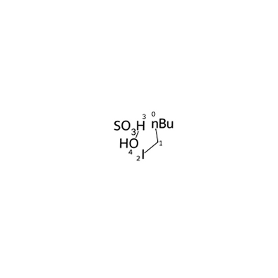 CCCCCI.O=S(=O)(O)O